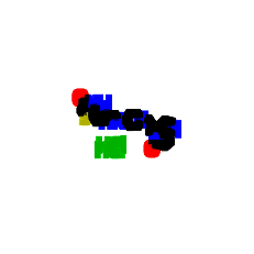 Cl.Cl.O=C1CSc2ccc(CNC3CCN(CC4Cn5c(=O)ccc6nccc4c65)CC3)nc2N1